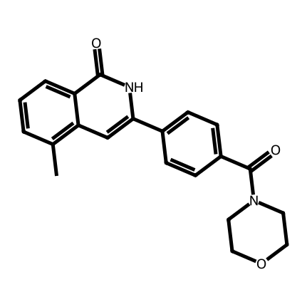 Cc1cccc2c(=O)[nH]c(-c3ccc(C(=O)N4CCOCC4)cc3)cc12